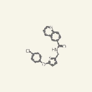 O=C(NCc1ccc(Oc2ccc(Cl)cc2)s1)c1ccc2ncccc2c1